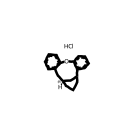 Cl.c1ccc2c(c1)C[C@@H]1CCCC(C1)c1ccccc1O2